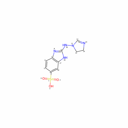 O=S(=O)(O)c1ccc2nc(NN3C=NCC3)[nH]c2c1